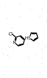 Clc1cc([SH]2C=CC=C2)ccn1